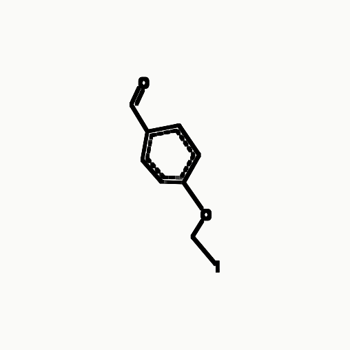 O=Cc1ccc(OCI)cc1